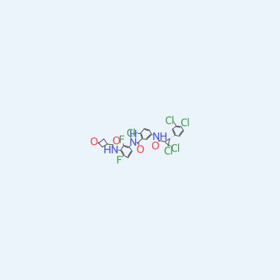 O=C1CC(C(=O)Nc2c(F)ccc(NC(=O)c3cc(NC(=O)C4[C@H](c5ccc(Cl)c(Cl)c5)C4(Cl)Cl)ccc3Cl)c2F)C1